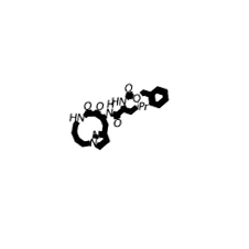 CC(C)CC(NC(=O)OCc1ccccc1)C(=O)NC1Cc2ccn(n2)CCCCNC(=O)C1=O